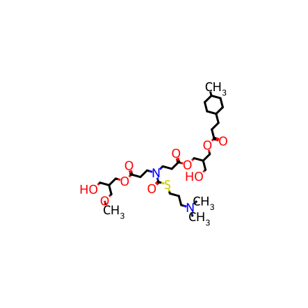 COCC(CO)COC(=O)CCN(CCC(=O)OCC(CO)COC(=O)CCC1CCC(C)CC1)C(=O)SCCCN(C)C